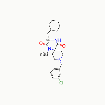 CCCCN1C(=O)[C@H](CC2CCCCC2)NC(=O)C12CCN(Cc1cccc(Cl)c1)CC2